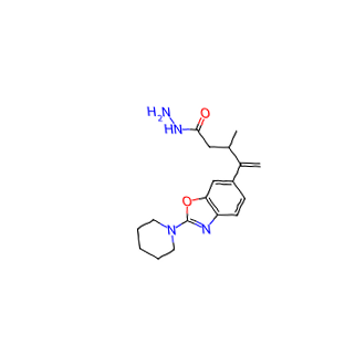 C=C(c1ccc2nc(N3CCCCC3)oc2c1)C(C)CC(=O)NN